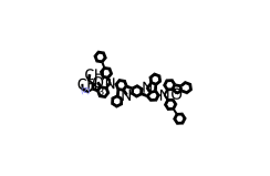 C=Cc1oc2c(N(c3ccc(-c4ccccc4)cc3)c3ccc4c5cc6c(cc5n5c7ccccc7c3c45)c3ccc(N(c4ccc(-c5ccccc5)cc4)c4cccc5c4oc4ccccc45)c4c5ccccc5n6c34)cccc2c1/C=C\C